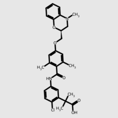 Cc1cc(OC[C@@H]2CN(C)c3ccccc3O2)cc(C)c1C(=O)Nc1ccc(Cl)c(C(C)(C)C(=O)O)c1